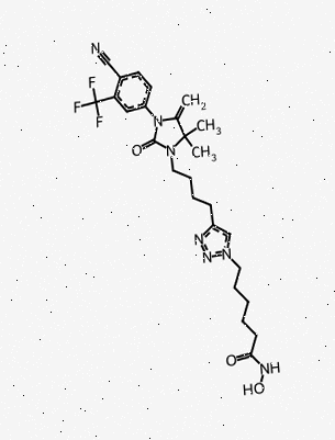 C=C1N(c2ccc(C#N)c(C(F)(F)F)c2)C(=O)N(CCCCc2cn(CCCCCC(=O)NO)nn2)C1(C)C